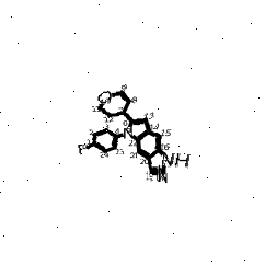 Fc1ccc(-n2c(C3CCOCC3)cc3cc4[nH]ncc4cc32)cc1